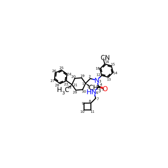 C[C@]1(CN(C(=O)NCC2CCC2)c2cccc(C#N)c2)CC[C@@](C)(c2ccccc2)CC1